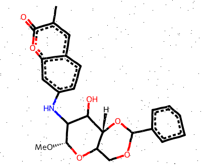 CO[C@H]1OC2COC(c3ccccc3)O[C@H]2C(O)C1Nc1ccc2cc(C)c(=O)oc2c1